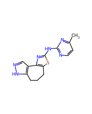 Cc1ccnc(Nc2nc3c(s2)CCCc2[nH]ncc2-3)n1